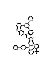 CC1(C)c2ccccc2-c2c(N(c3ccc(-c4ccccc4)cc3)c3ccc4oc5ccc(-c6ccc7oc8cccc(-c9nc(-c%10ccccc%10)nc(-c%10ccccc%10)n9)c8c7c6)cc5c4c3)cccc21